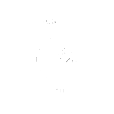 CCCCCCCC/C=C\CCCCCCCC(N)=O.CCON(CC)CC(=O)O